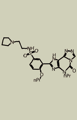 CCCOc1ccc(S(=O)(=O)NCCN2CCCC2)cc1-c1nc2c([nH]1)c1nncn1c(=O)n2CCC